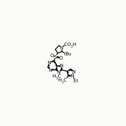 CCn1ncc(-c2nc3c(S(=O)(=O)C4CCN(C(=O)O)C4C(C)(C)C)ncnc3n2C)c1C